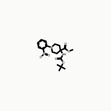 COC(=O)C1(NC(=O)OC(C)(C)C)CCN(c2ccccc2[N+](=O)[O-])CC1